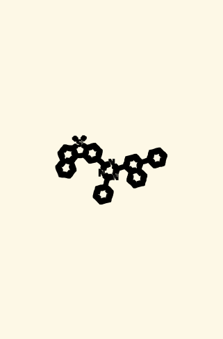 C[Si]1(C)c2ccc(-c3nc(-c4ccccc4)nc(-c4ccc(-c5ccccc5)c5ccccc45)n3)cc2-c2c1ccc1ccccc21